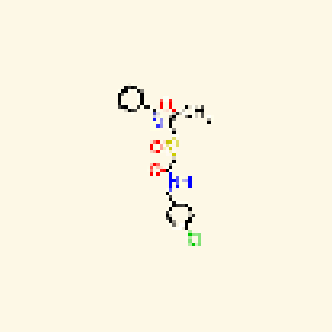 Cc1oc(-c2ccccc2)nc1C[S+]([O-])CC(=O)NCc1ccc(Cl)cc1